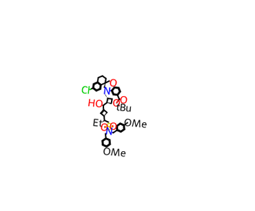 CC[C@H](CS(=O)(=O)N(Cc1ccc(OC)cc1)Cc1ccc(OC)cc1)[C@H]1C=C([C@@H](O)[C@@H]2CC[C@H]2CN2C[C@@]3(CCCc4cc(Cl)ccc43)COc3ccc(C(=O)OC(C)(C)C)cc32)C1